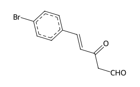 O=CCC(=O)C=Cc1ccc(Br)cc1